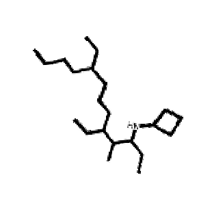 CCCCC(CC)CCCC(CC)C(C)C(CC)NC1CCC1